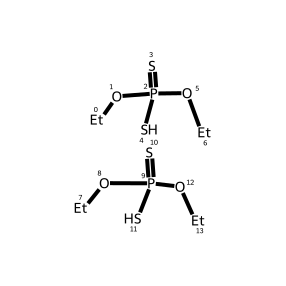 CCOP(=S)(S)OCC.CCOP(=S)(S)OCC